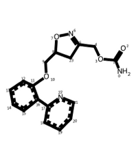 NC(=O)OCC1=NOC(COc2ccccc2-c2ccccn2)C1